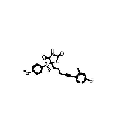 COc1ccc(S(=O)(=O)C2(CCCC#Cc3ccc(Br)cc3C)SC(=O)NC2=O)cc1